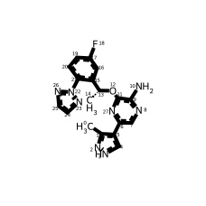 Cc1n[nH]cc1-c1cnc(N)c(O[C@H](C)c2cc(F)ccc2-n2nccn2)n1